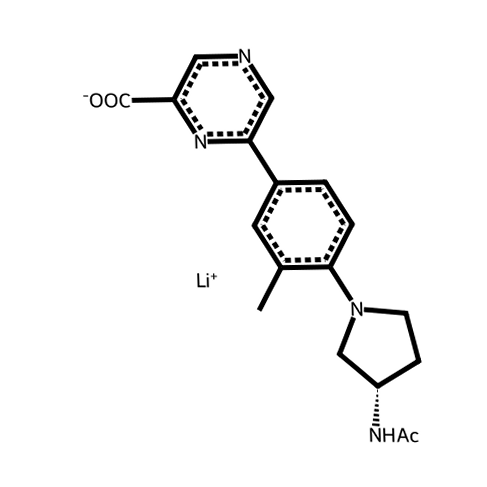 CC(=O)N[C@H]1CCN(c2ccc(-c3cncc(C(=O)[O-])n3)cc2C)C1.[Li+]